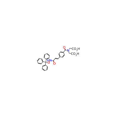 O=C(O)CN(CC(=O)O)C(=O)c1ccc(/C=C/C(=O)NOC(c2ccccc2)(c2ccccc2)c2ccccc2)cc1